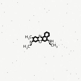 CCN=c1cc2oc3cc(NCC)c4ccccc4c3nc-2cc1C